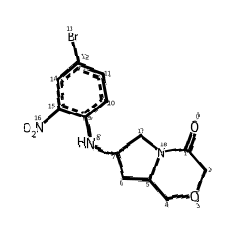 O=C1COCC2CC(Nc3ccc(Br)cc3[N+](=O)[O-])CN12